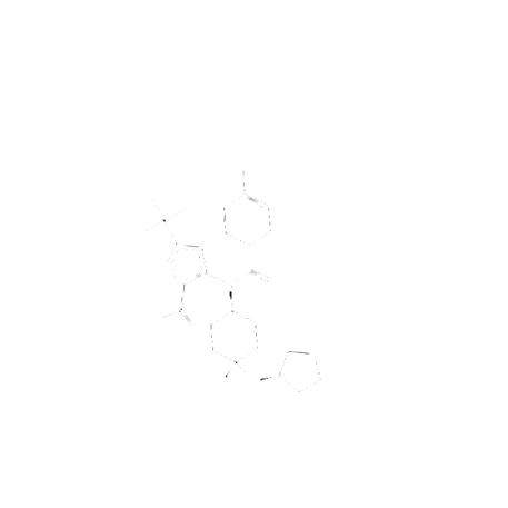 CC1=CC[C@H](C(=O)N(c2cc(C(C)(C)C)sc2C(=O)O)[C@H]2CC[C@](O)(O[C@@H]3CCOC3)CC2)CC1